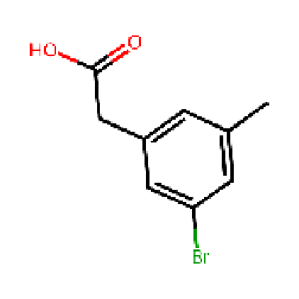 Cc1cc(Br)cc(CC(=O)O)c1